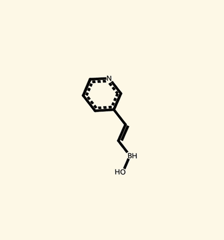 OBC=Cc1cccnc1